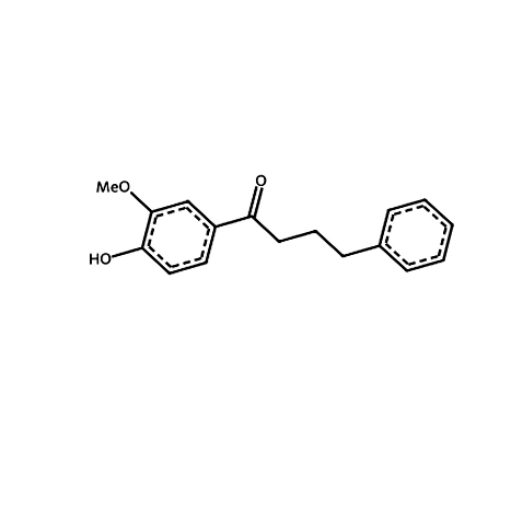 COc1cc(C(=O)CCCc2ccccc2)ccc1O